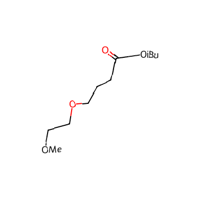 COCCOCCCC(=O)OCC(C)C